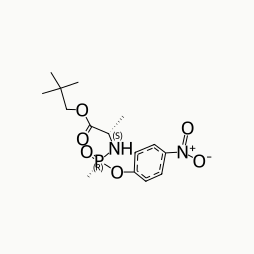 C[C@H](N[P@](C)(=O)Oc1ccc([N+](=O)[O-])cc1)C(=O)OCC(C)(C)C